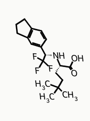 CC(C)(C)CC[C@H](N[C@@H](c1ccc2c(c1)CCC2)C(F)(F)F)C(=O)O